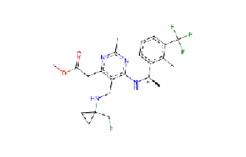 COC(=O)Cc1nc(C)nc(N[C@H](C)c2cccc(C(F)(F)F)c2C)c1CNC1(CF)CC1